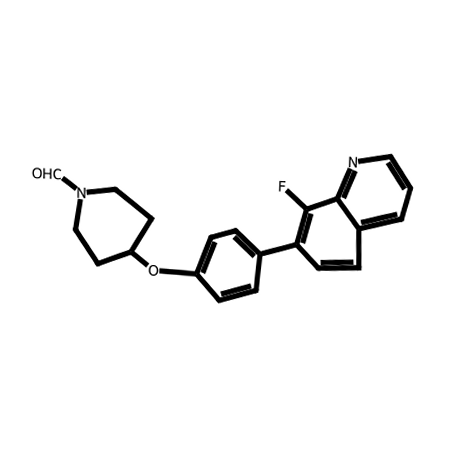 O=CN1CCC(Oc2ccc(-c3ccc4cccnc4c3F)cc2)CC1